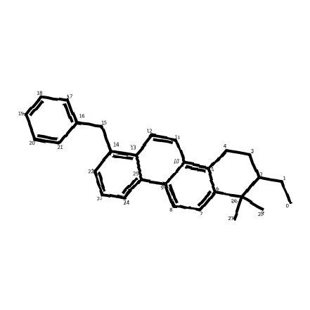 CCC1CCc2c(ccc3c2ccc2c(Cc4ccccc4)cccc23)C1(C)C